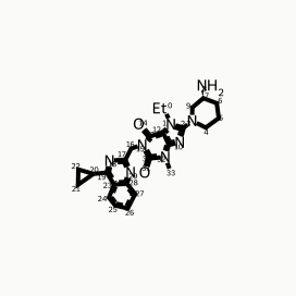 CCn1c(N2CCC[C@@H](N)C2)nc2c1c(=O)n(Cc1nc(C3CC3)c3ccccc3n1)c(=O)n2C